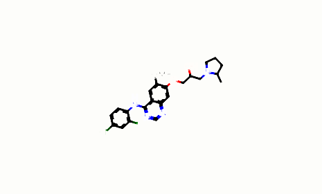 COc1cc2c(Nc3ccc(Cl)cc3F)ncnc2cc1OCC(O)CN1CCCC1C.Cl